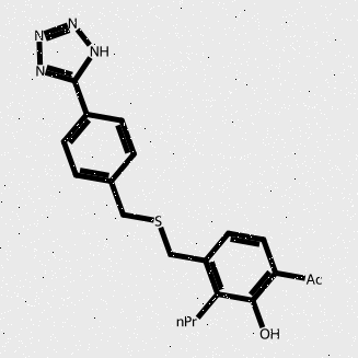 CCCc1c(CSCc2ccc(-c3nnn[nH]3)cc2)ccc(C(C)=O)c1O